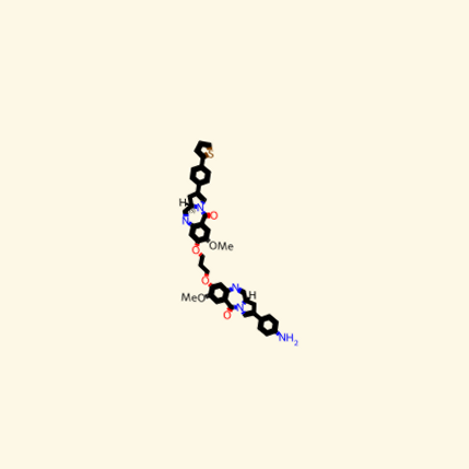 COc1cc2c(cc1OCCCOc1cc3c(cc1OC)C(=O)N1C=C(c4ccc(-c5cccs5)cc4)C[C@H]1C=N3)N=C[C@@H]1CC(c3ccc(N)cc3)=CN1C2=O